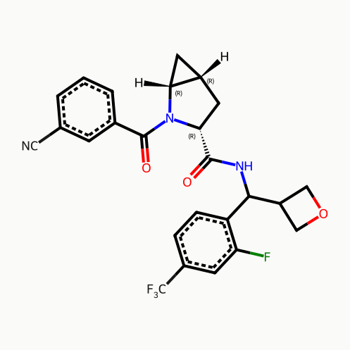 N#Cc1cccc(C(=O)N2[C@@H](C(=O)NC(c3ccc(C(F)(F)F)cc3F)C3COC3)C[C@H]3C[C@H]32)c1